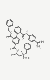 CC(C)C(C[N+](C)(Cc1ccccc1)C(=O)O)NC(=O)c1ccc(-c2ccccc2C(=O)Nc2ccc(C(=N)N)cc2)c(C(=O)OCc2ccccc2)c1